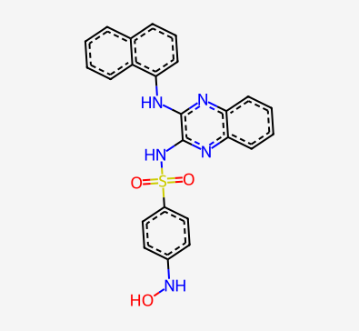 O=S(=O)(Nc1nc2ccccc2nc1Nc1cccc2ccccc12)c1ccc(NO)cc1